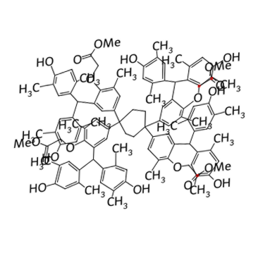 COC(=O)COc1c(C)cc(C2(c3cc(C)c(OCC(=O)OC)c(C(c4cc(C)c(O)cc4C)c4cc(C)c(O)cc4C)c3)CCC(c3cc(C)c(OCC(=O)OC)c(C(c4cc(C)c(O)cc4C)c4cc(C)c(O)cc4C)c3)(c3cc(C)c(OCC(=O)OC)c(C(c4cc(C)c(O)cc4C)c4cc(C)c(O)cc4C)c3)CC2)cc1C(c1cc(C)c(O)cc1C)c1cc(C)c(O)cc1C